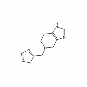 c1csc(CN2CCc3[nH]cnc3C2)n1